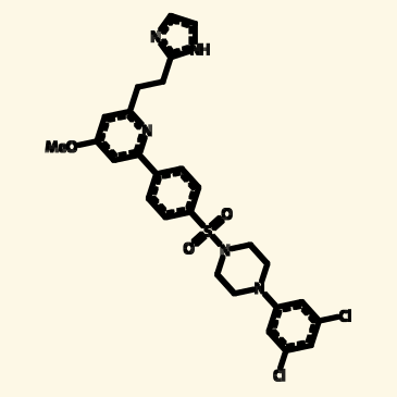 COc1cc(CCc2ncc[nH]2)nc(-c2ccc(S(=O)(=O)N3CCN(c4cc(Cl)cc(Cl)c4)CC3)cc2)c1